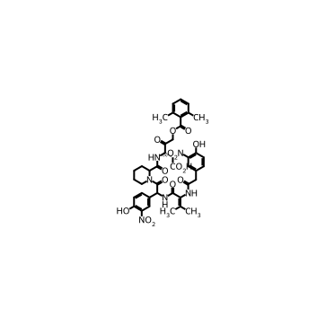 CC(C)=C(NC(=O)Cc1ccc(O)c([N+](=O)[O-])c1)C(=O)NC(C(=O)N1CCCCC1C(=O)N[C@@H](CC(=O)O)C(=O)COC(=O)c1c(C)cccc1C)c1ccc(O)c([N+](=O)[O-])c1